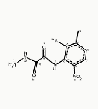 Cc1ccc([N+](=O)[O-])c(NC(=O)C(=O)NN)c1F